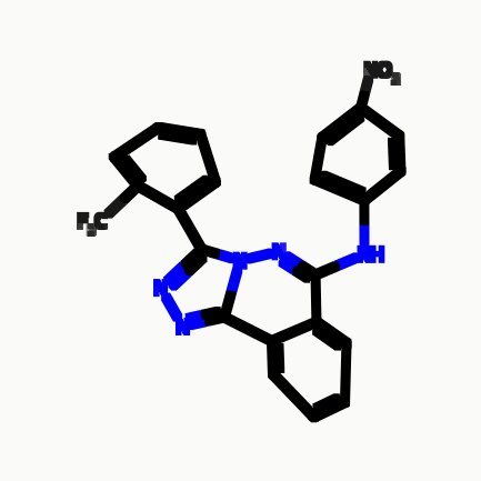 O=[N+]([O-])c1ccc(Nc2nn3c(-c4ccccc4C(F)(F)F)nnc3c3ccccc23)cc1